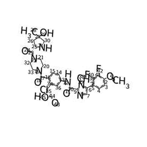 COc1ccc(-c2cnc(C(=O)Nc3ccc(C(=O)N4CCN(C(=O)[C@@H]5C[C@](C)(O)CN5)CC4)c(Cl)c3)n2C)c(F)c1F.O=CO